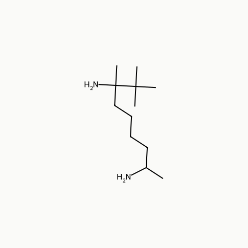 CC(N)CCCCC(C)(N)C(C)(C)C